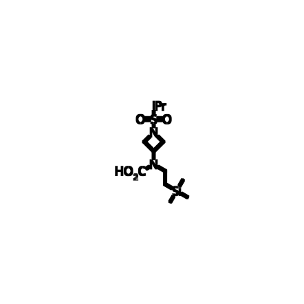 CC(C)S(=O)(=O)N1CC(N(CC[Si](C)(C)C)C(=O)O)C1